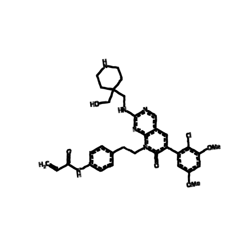 C=CC(=O)Nc1ccc(CCn2c(=O)c(-c3cc(OC)cc(OC)c3Cl)cc3cnc(NCC4(CO)CCNCC4)nc32)cc1